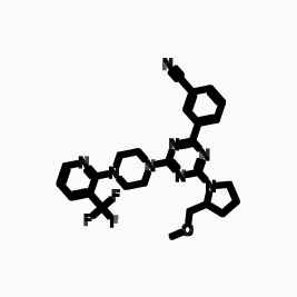 COCC1CCCN1c1nc(-c2cccc(C#N)c2)nc(N2CCN(c3ncccc3C(F)(F)F)CC2)n1